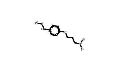 CCN(CC)CCCOc1ccc(NOO)cc1